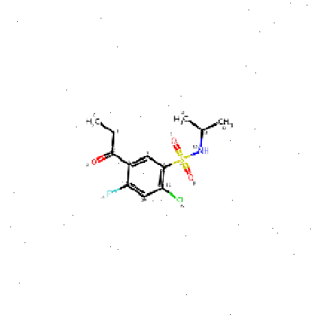 CCC(=O)c1cc(S(=O)(=O)NC(C)C)c(Cl)cc1F